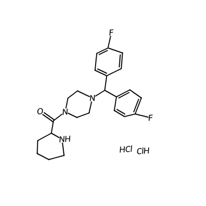 Cl.Cl.O=C(C1CCCCN1)N1CCN(C(c2ccc(F)cc2)c2ccc(F)cc2)CC1